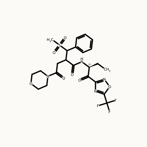 CC[C@H](NC(=O)C(CC(=O)N1CCOCC1)C(c1ccccc1)S(C)(=O)=O)C(=O)c1noc(C(F)(F)F)n1